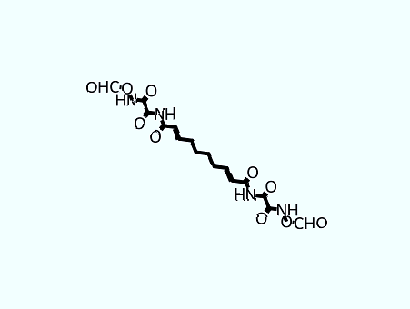 O=CONC(=O)C(=O)NC(=O)C=CCCCCC=CC(=O)NC(=O)C(=O)NOC=O